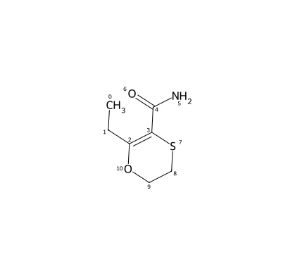 CCC1=C(C(N)=O)SCCO1